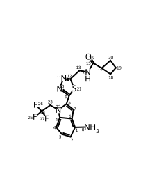 Nc1cccc2c1cc(-c1nnc(CNC(=O)C3CCC3)s1)n2CC(F)(F)F